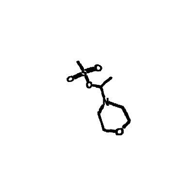 CC(OS(C)(=O)=O)N1CCOCC1